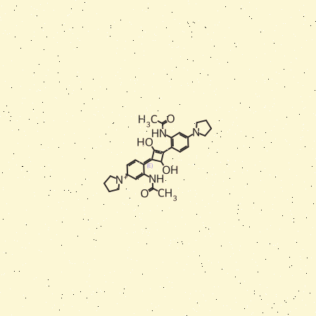 CC(=O)NC1=CC(=[N+]2CCCC2)C=C/C1=C1\C(O)=C(c2ccc(N3CCCC3)cc2NC(C)=O)C1O